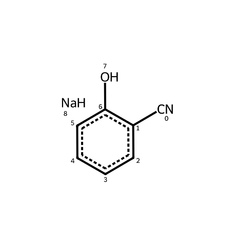 N#Cc1ccccc1O.[NaH]